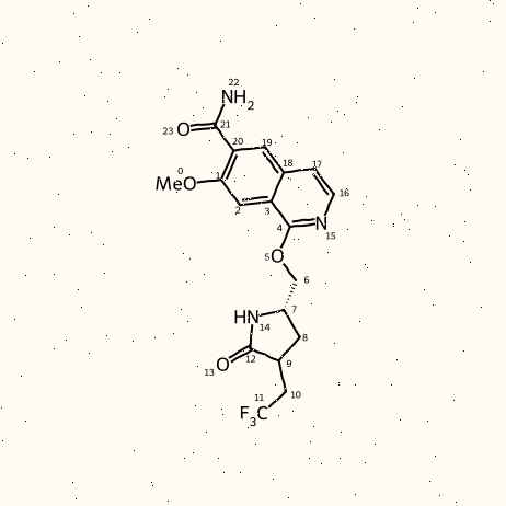 COc1cc2c(OC[C@@H]3CC(CC(F)(F)F)C(=O)N3)nccc2cc1C(N)=O